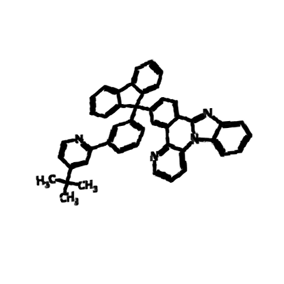 CC(C)(C)c1ccnc(-c2cccc(C3(c4ccc5c(c4)c4ncccc4n4c6ccccc6nc54)c4ccccc4-c4ccccc43)c2)c1